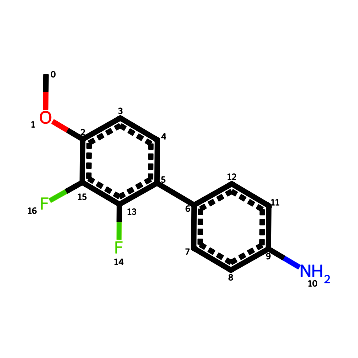 COc1ccc(-c2ccc(N)cc2)c(F)c1F